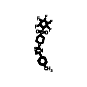 Cc1ccc(-c2csc(N3CCC(S(=O)(=O)c4c(F)c(F)c(F)c(F)c4F)CC3)n2)cc1